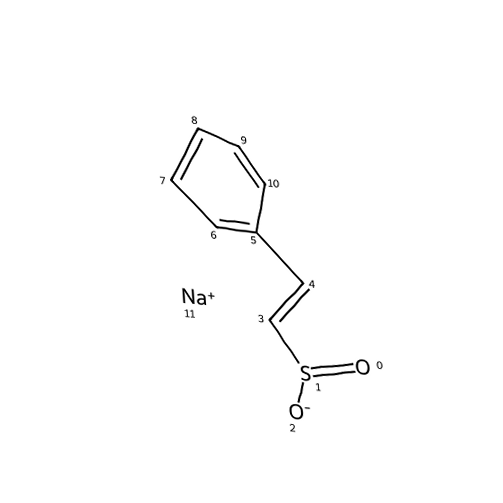 O=S([O-])/C=C/c1ccccc1.[Na+]